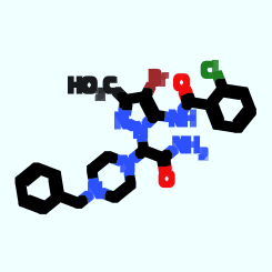 NC(=O)C(N1CCN(Cc2ccccc2)CC1)n1nc(C(=O)O)c(Br)c1NC(=O)c1ccccc1Cl